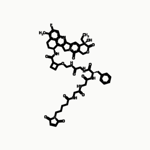 CC[C@@]1(O)C(=O)OCc2c1cc1n(c2=O)Cc2c-1nc1cc(F)c(C)c3c1c2[C@@H](NC(=O)C1CCC1OCNC(=O)CNC(=O)[C@H](Cc1ccccc1)NC(=O)CNC(=O)CNC(=O)CCCCN1C(=O)C=CC1=O)CC3